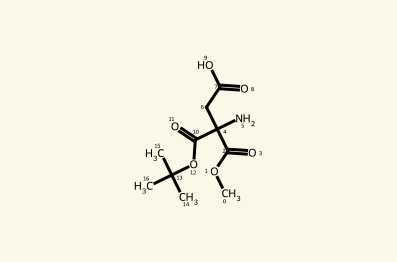 COC(=O)C(N)(CC(=O)O)C(=O)OC(C)(C)C